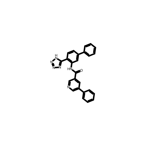 O=C(Nc1cc(-c2ccccc2)ccc1-c1nnn[nH]1)c1cncc(-c2ccccc2)c1